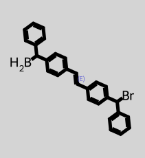 BC(c1ccccc1)c1ccc(/C=C/c2ccc(C(Br)c3ccccc3)cc2)cc1